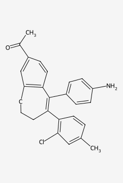 CC(=O)c1ccc2c(c1)CCCC(c1ccc(C)cc1Cl)=C2c1ccc(N)cc1